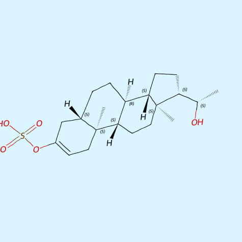 C[C@H](O)[C@H]1CC[C@H]2[C@@H]3CC[C@H]4CC(OS(=O)(=O)O)=CC[C@]4(C)[C@H]3CC[C@]12C